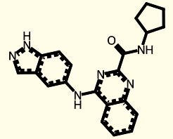 O=C(NC1CCCC1)c1nc(Nc2ccc3[nH]ncc3c2)c2ccccc2n1